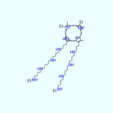 CCNCCCCNCCCCNCCCCNCCCC1=C(C)c2cc3[nH]c(cc4nc(cc5[nH]c(cc1n2)c(CCCNCCCCNCCCCNCCCCNCC)c5C)C(CC)=C4C)c(CC)c3C